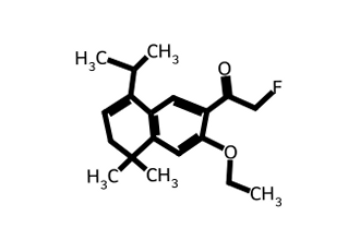 CCOc1cc2c(cc1C(=O)CF)C(C(C)C)=CCC2(C)C